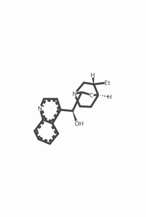 CC[C@H]1CN2CC[C@H]1CC2[C@@H](O)c1ccnc2ccccc12